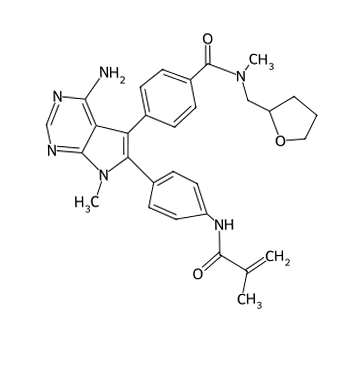 C=C(C)C(=O)Nc1ccc(-c2c(-c3ccc(C(=O)N(C)CC4CCCO4)cc3)c3c(N)ncnc3n2C)cc1